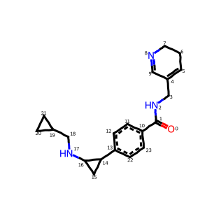 O=C(NCC1=CCCN=C1)c1ccc(C2CC2NCC2CC2)cc1